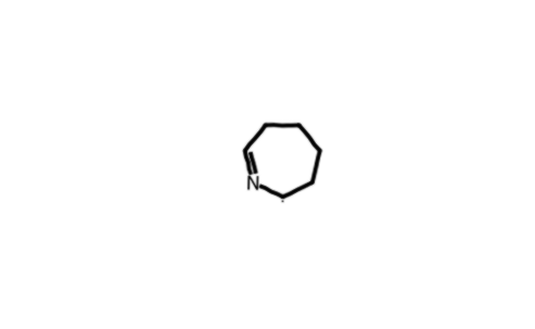 [CH]1CCCCC=N1